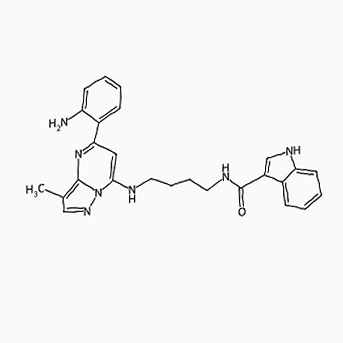 Cc1cnn2c(NCCCCNC(=O)c3c[nH]c4ccccc34)cc(-c3ccccc3N)nc12